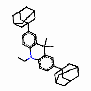 CCN1c2ccc(C34CC5CC(CC(C5)C3)C4)cc2C(C)(C)c2cc(C34CC5CC(CC(C5)C3)C4)ccc21